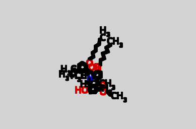 CCCCCCCCOc1ccc(C(C)(C)C)cc1C(O)(c1cc(C(C)(C)C)ccc1OCCCCCCCC)C(C)N=Cc1cc(C(=O)OCCC)ccc1O